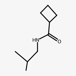 CC(C)CNC(=O)C1CCC1